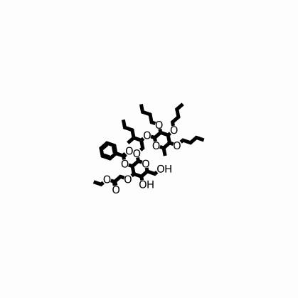 CCCCOC1C(C)OC(OC(COC2OC(CO)C(O)C(OCC(=O)OCC)C2OC(=O)c2ccccc2)C(C)CCC)C(OCCCC)C1OCCCC